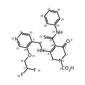 O=C1CN(C(=O)O)CC(NCc2ccncc2OCC(F)F)=C1C(=S)Nc1ccccc1